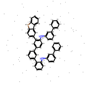 c1ccc(-c2cccc(Nc3ccccc3-c3cccc(-c4ccc(Nc5cccc(-c6ccccc6)c5)c(-c5ccc6sc7ccccc7c6c5)c4)c3)c2)cc1